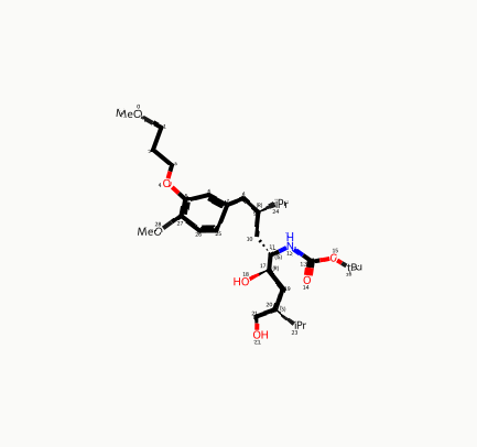 COCCCOc1cc(C[C@H](C[C@H](NC(=O)OC(C)(C)C)[C@H](O)C[C@H](CO)C(C)C)C(C)C)ccc1OC